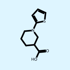 O=C(O)C1CCCN(c2cccs2)C1